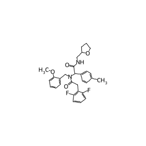 COc1ccccc1CN(C(=O)Cc1c(F)cccc1F)C(C(=O)NCC1CCCO1)c1ccc(C)cc1